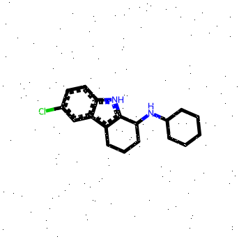 Clc1ccc2[nH]c3c(c2c1)CCCC3NC1CCCCC1